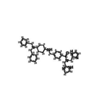 O=C(c1ccc(CNC2CCC(N(Cc3ccccc3)Cc3ccccc3)CC2)cc1)N(Cc1ncc[nH]1)Cc1ncc[nH]1